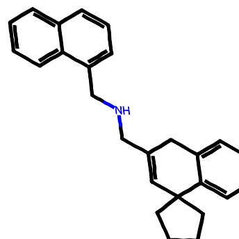 C1=C(CNCc2cccc3ccccc23)Cc2ccccc2C12CCCC2